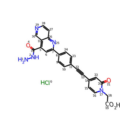 Cl.NNC(=O)c1cc(-c2ccc(C#Cc3ccn(CC(=O)O)c(=O)c3)cc2)nc2ccncc12